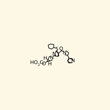 O=C(O)OC1[C@H]2CN(c3ccc(C(=O)N4CCC(c5cccnc5)C4)c(SC4CCCCC4)n3)C[C@@H]12